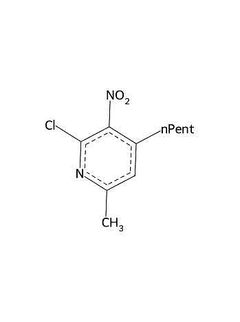 CC[CH]CCc1cc(C)nc(Cl)c1[N+](=O)[O-]